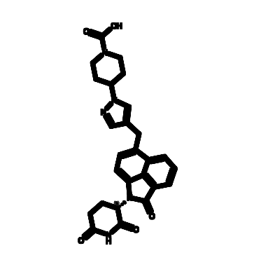 O=C1CC[C@H](N2C(=O)c3cccc4c(Cc5cnn(C6CCN(C(=O)O)CC6)c5)ccc2c34)C(=O)N1